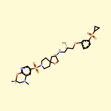 C[C@@H]1CN(C)c2cc(S(=O)(=O)N3CCC4(CC3)C[C@@H](NC[C@H](O)COc3cccc(S(=O)(=O)C5CC5)c3)CO4)cnc2O1